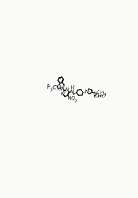 CN(C=O)C1CCN([C@H]2CC[C@H](CNc3nc(NCc4ccccc4OC(F)(F)F)ncc3[N+](=O)[O-])CC2)C1